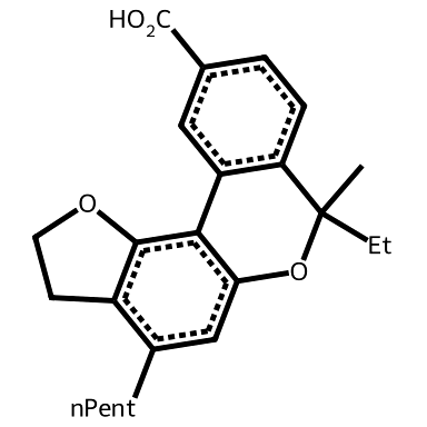 CCCCCc1cc2c(c3c1CCO3)-c1cc(C(=O)O)ccc1C(C)(CC)O2